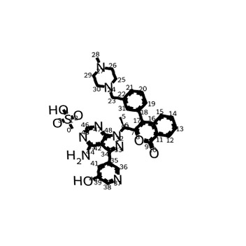 CS(=O)(=O)O.C[C@@H](c1oc(=O)c2ccccc2c1-c1cccc(CN2CCN(C)CC2)c1)n1nc(-c2cncc(O)c2)c2c(N)ncnc21